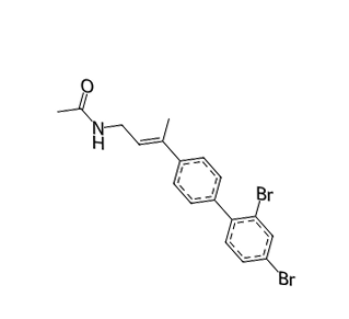 CC(=O)NCC=C(C)c1ccc(-c2ccc(Br)cc2Br)cc1